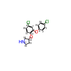 Clc1ccc(Oc2cc(Cl)ccc2OC2CCNC2)cc1